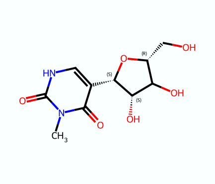 Cn1c(=O)[nH]cc([C@@H]2O[C@H](CO)C(O)[C@@H]2O)c1=O